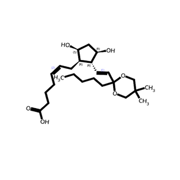 CCCCCC1(/C=C/[C@@H]2[C@@H](C/C=C\CCCC(=O)O)[C@@H](O)C[C@H]2O)OCC(C)(C)CO1